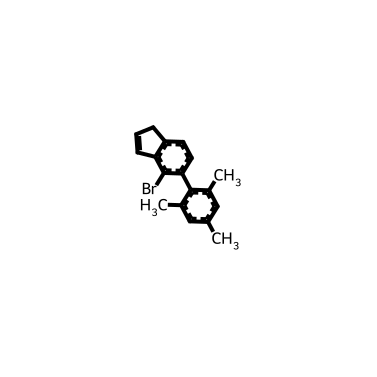 Cc1cc(C)c(-c2ccc3c(c2Br)C=CC3)c(C)c1